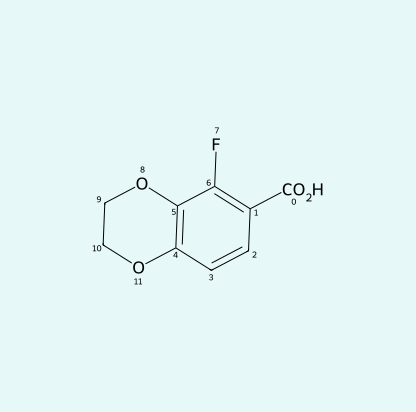 O=C(O)c1ccc2c(c1F)OCCO2